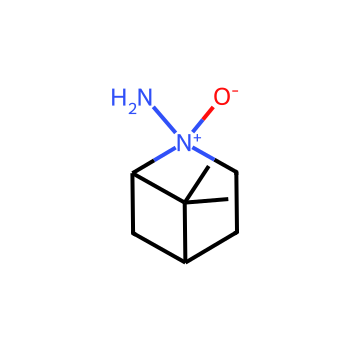 CC1(C)C2CC[N+](N)([O-])C1C2